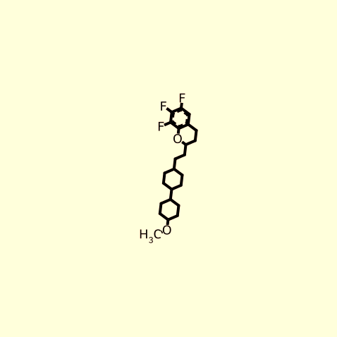 COC1CCC(C2CCC(CCC3CCc4cc(F)c(F)c(F)c4O3)CC2)CC1